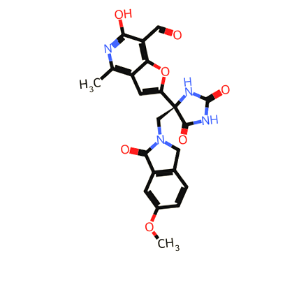 COc1ccc2c(c1)C(=O)N(C[C@@]1(c3cc4c(C)nc(O)c(C=O)c4o3)NC(=O)NC1=O)C2